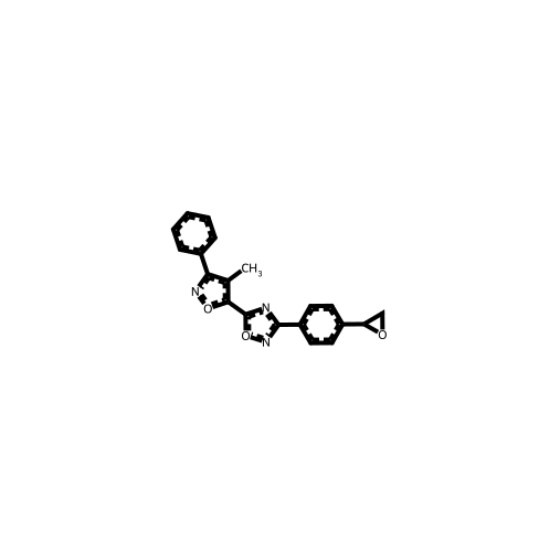 Cc1c(-c2ccccc2)noc1-c1nc(-c2ccc(C3CO3)cc2)no1